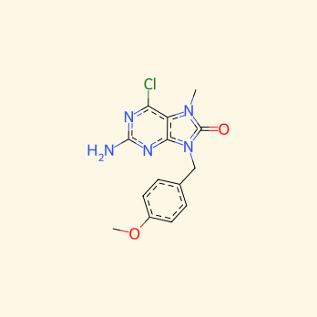 COc1ccc(Cn2c(=O)n(C)c3c(Cl)nc(N)nc32)cc1